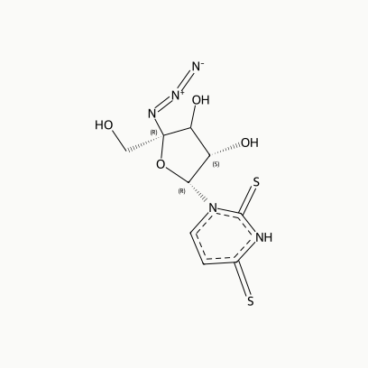 [N-]=[N+]=N[C@]1(CO)O[C@@H](n2ccc(=S)[nH]c2=S)[C@@H](O)C1O